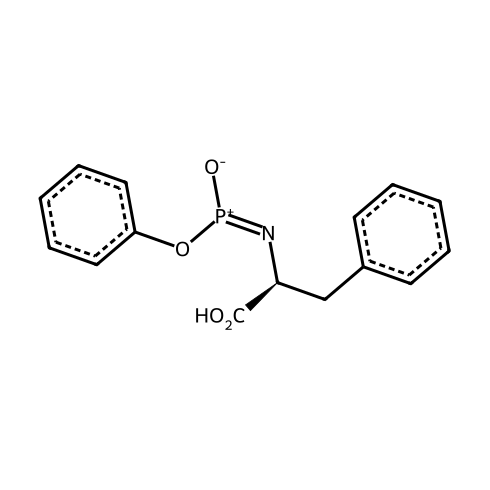 O=C(O)[C@H](Cc1ccccc1)N=[P+]([O-])Oc1ccccc1